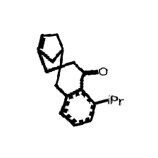 CC(C)c1cccc2c1C(=O)CC1(CC3=CCC1C3)C2